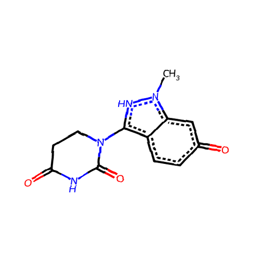 Cn1[nH]c(N2CCC(=O)NC2=O)c2ccc(=O)cc1-2